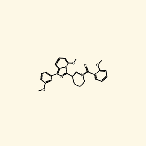 COc1cccc(-c2nc(C3CCCN(C(=O)c4ccccc4OC)C3)n3c(OC)cccc23)c1